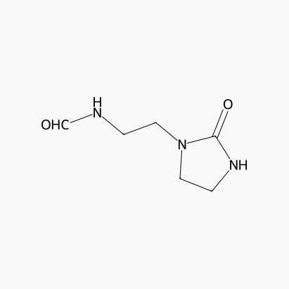 O=CNCCN1CCNC1=O